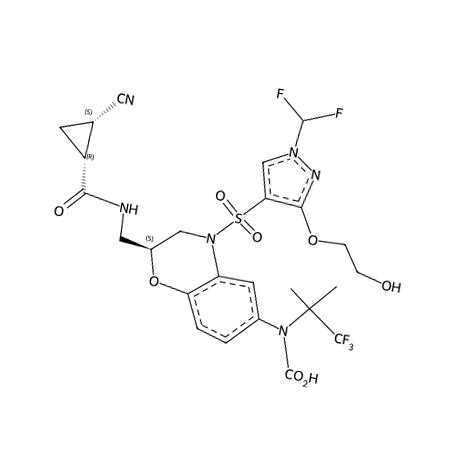 CC(C)(N(C(=O)O)c1ccc2c(c1)N(S(=O)(=O)c1cn(C(F)F)nc1OCCO)C[C@H](CNC(=O)[C@@H]1C[C@@H]1C#N)O2)C(F)(F)F